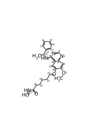 COc1cc2ncnc(NC(C)c3ccccc3)c2cc1OCCCCCC(=O)NO